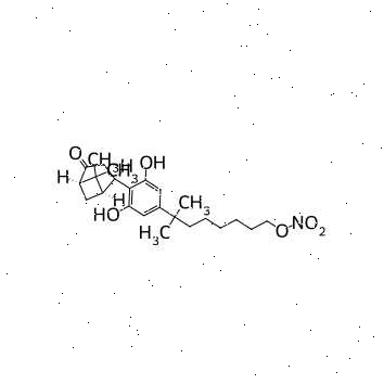 CC(C)(CCCCCCO[N+](=O)[O-])c1cc(O)c([C@@H]2CC(=O)[C@@H]3C[C@H]2C3(C)C)c(O)c1